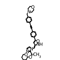 C[C@H](OC1CCCCO1)c1nccn1C=C1C=C(c2ccc(C#Cc3ccc(CN4CCOCC4)cc3)cc2)ON1